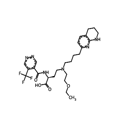 CCOCCN(CCCCc1ccc2c(n1)NCCC2)CC[C@H](NC(=O)c1cnncc1C(F)(F)F)C(=O)O